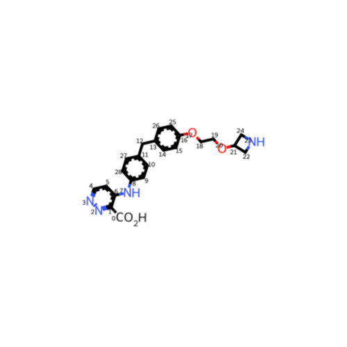 O=C(O)c1nnccc1Nc1ccc(Cc2ccc(OCCOC3CNC3)cc2)cc1